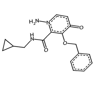 Nn1ccc(=O)c(OCc2ccccc2)c1C(=O)NCC1CC1